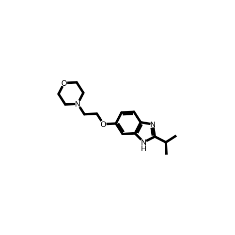 CC(C)c1nc2ccc(OCCN3CCOCC3)cc2[nH]1